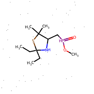 CCC1(CC)NC(C[PH](=O)OC)C(C)(C)S1